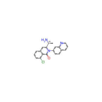 C[C@H](N)c1cc2cccc(Cl)c2c(=O)n1-c1ccc2cccnc2c1